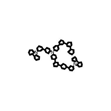 c1ccc(-c2cccc(-c3cccc(-c4ccc(N(c5ccc(-c6cccc(-c7ccc(-c8cccc(-n9c%10ccccc%10c%10ccccc%109)c8)cc7)c6)cc5)c5ccc(-c6cccc(-n7c8ccccc8c8ccccc87)c6)cc5)cc4)c3)c2)cc1